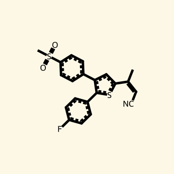 C/C(=C/C#N)c1cc(-c2ccc(S(C)(=O)=O)cc2)c(-c2ccc(F)cc2)s1